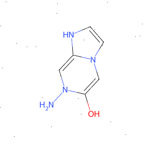 NN1C=C2NC=CN2C=C1O